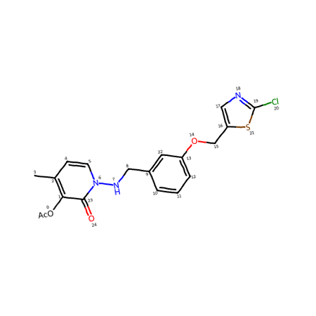 CC(=O)Oc1c(C)ccn(NCc2cccc(OCc3cnc(Cl)s3)c2)c1=O